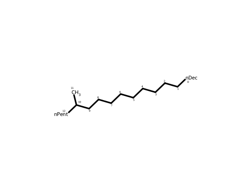 [CH2]CCCCCCCCCCCCCCCCCCC(C)CCCC[CH2]